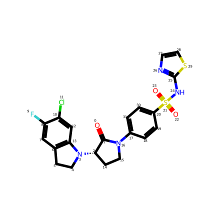 O=C1[C@@H](N2CCc3cc(F)c(Cl)cc32)CCN1c1ccc(S(=O)(=O)Nc2nccs2)cc1